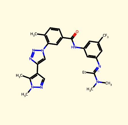 CC/C(=N\c1cc(NC(=O)c2ccc(C)c(-n3cc(-c4cnn(C)c4C)nn3)c2)cc(C(F)(F)F)c1)N(C)C